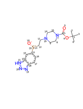 CC(C)(C)OC(=O)N1CCN(CC[S@@+]([O-])c2ccc3nn[nH]c3c2)CC1